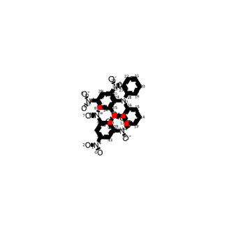 O=[N+]([O-])c1cc([N+](=O)[O-])c(Sc2ccccc2N(c2ccccc2)c2c([N+](=O)[O-])cc([N+](=O)[O-])cc2[N+](=O)[O-])c([N+](=O)[O-])c1